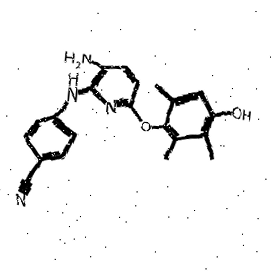 Cc1cc(O)c(C)c(C)c1Oc1ccc(N)c(Nc2ccc(C#N)cc2)n1